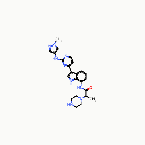 CC(C(=O)Nc1cccc2c(-c3ccnc(Nc4cnn(C)c4)n3)c[nH]c12)N1CCNCC1